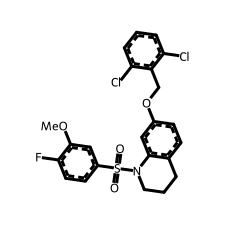 COc1cc(S(=O)(=O)N2CCCc3ccc(OCc4c(Cl)cccc4Cl)cc32)ccc1F